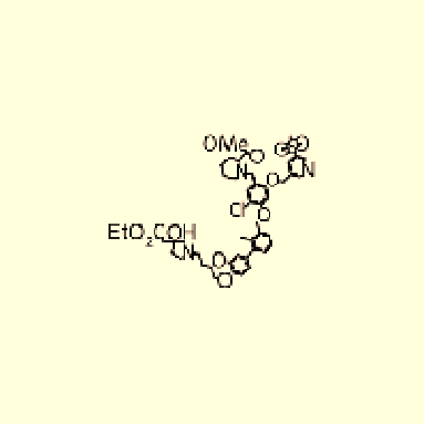 CCOC(=O)CC1(O)CCN(CCC2COc3ccc(-c4cccc(COc5cc(OCc6cncc(S(C)(=O)=O)c6)c(CN6CCCCC6C(=O)OC)cc5Cl)c4C)cc3O2)C1